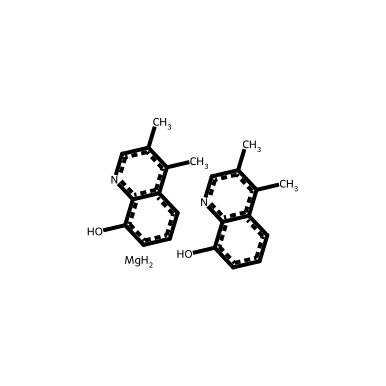 Cc1cnc2c(O)cccc2c1C.Cc1cnc2c(O)cccc2c1C.[MgH2]